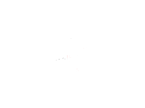 O=C([O-])CC(O)(CC(=O)[O-])C(=O)[O-].[K+].[K+].[K+].[NaH]